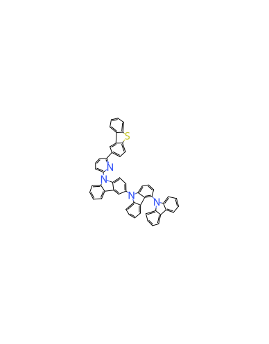 c1cc(-c2ccc3sc4ccccc4c3c2)nc(-n2c3ccccc3c3cc(-n4c5ccccc5c5c(-n6c7ccccc7c7ccccc76)cccc54)ccc32)c1